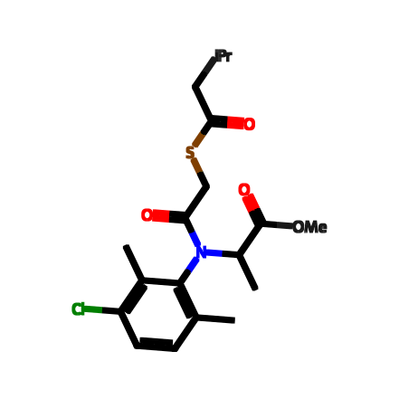 COC(=O)C(C)N(C(=O)CSC(=O)CC(C)C)c1c(C)ccc(Cl)c1C